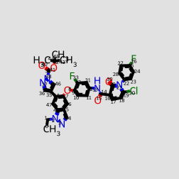 CCn1ncc2cc(Oc3ccc(NC(=O)c4ccc(Cl)n(-c5ccc(F)cc5)c4=O)cc3F)c(-c3cnn(C(=O)OC(C)(C)C)c3)cc21